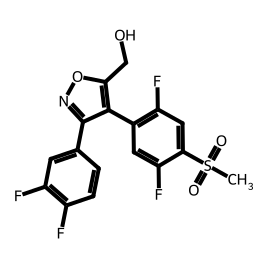 CS(=O)(=O)c1cc(F)c(-c2c(-c3ccc(F)c(F)c3)noc2CO)cc1F